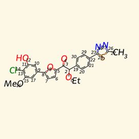 CCOC(C(=O)c1ccc(-c2cc(O)c(Cl)c(OC)c2)o1)c1ccc(-c2nnc(C)s2)cc1